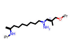 C=C(CCCCCCCN(N)/C=C(\C)COC(C)C)NC(C)C